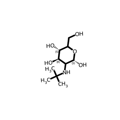 CC(C)(C)NC1[C@@H](O)[C@H](O)C(CO)O[C@@H]1O